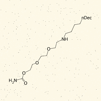 CCCCCCCCCCCCCCNCCOCCOCCOC(N)=O